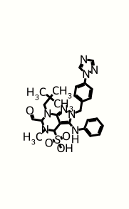 CN1C(C=O)N(CC(C)(C)C)c2nn(Cc3ccc(-n4cncn4)cc3)c(Nc3ccccc3)c2C1S(=O)(=O)O